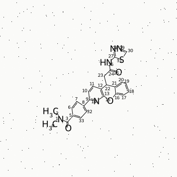 CN(C)C(=O)c1ccc(-c2ccc3c(n2)Oc2ccccc2C3CC(=O)Nc2nncs2)cc1